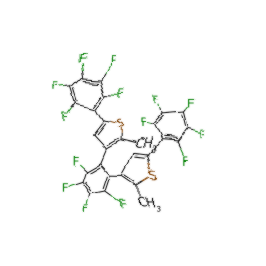 Cc1sc(-c2c(F)c(F)c(F)c(F)c2F)cc1-c1c(F)c(F)c(F)c(F)c1-c1cc(-c2c(F)c(F)c(F)c(F)c2F)sc1C